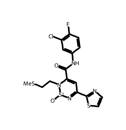 CSCCN1C(C(=O)Nc2ccc(F)c(Cl)c2)=CC(c2nccs2)=N[S+]1[O-]